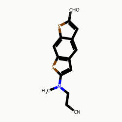 CN(CCC#N)c1cc2cc3cc(C=O)sc3cc2s1